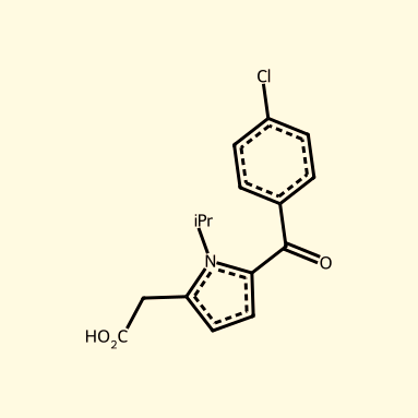 CC(C)n1c(CC(=O)O)ccc1C(=O)c1ccc(Cl)cc1